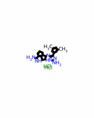 Cc1cc(C)cc(-c2nc(N)[nH]c2N=C2CCc3c(C(=N)N)cccc32)c1.Cl.Cl